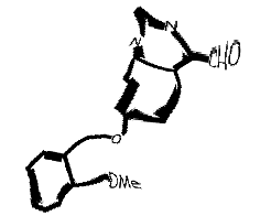 COc1ccccc1COc1ccc2c(C=O)ncnc2c1